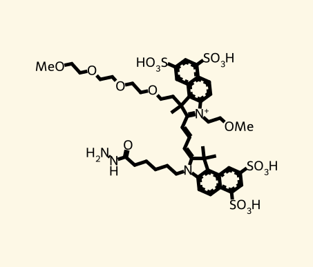 COCCOCCOCCOCCC1(C)C(/C=C/C=C2/N(CCCCCC(=O)NN)c3ccc4c(S(=O)(=O)O)cc(S(=O)(=O)O)cc4c3C2(C)C)=[N+](CCOC)c2ccc3c(S(=O)(=O)O)cc(S(=O)(=O)O)cc3c21